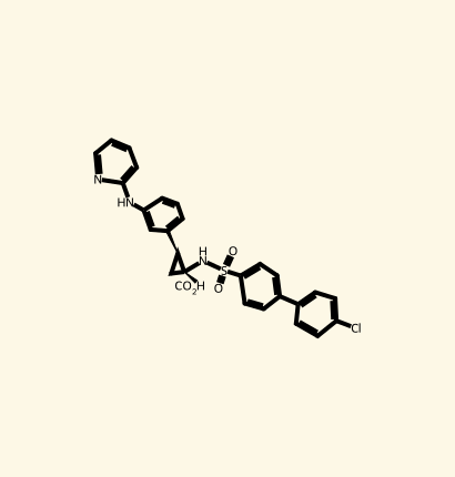 O=C(O)[C@@]1(NS(=O)(=O)c2ccc(-c3ccc(Cl)cc3)cc2)C[C@H]1c1cccc(Nc2ccccn2)c1